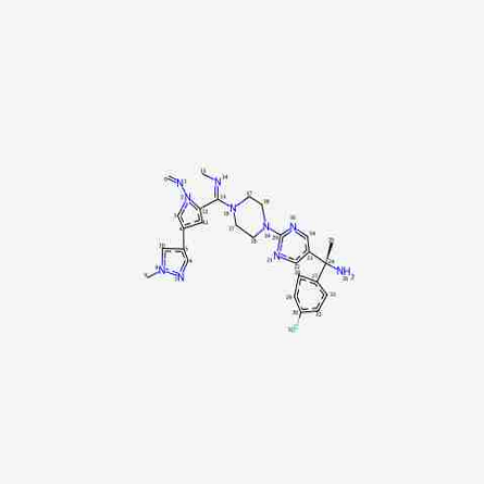 C=Nn1cc(-c2cnn(C)c2)cc1/C(=N\C)N1CCN(c2ncc([C@](C)(N)c3ccc(F)cc3)cn2)CC1